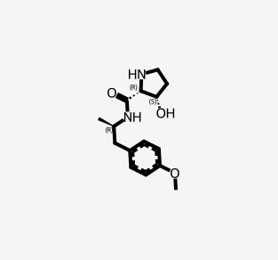 COc1ccc(C[C@@H](C)NC(=O)[C@@H]2NCC[C@@H]2O)cc1